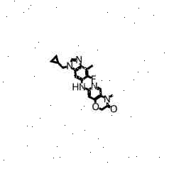 Cc1c(F)c(Nc2cc3c(cn2)N(C)C(=O)CO3)cc2c1ncn2CC1CC1